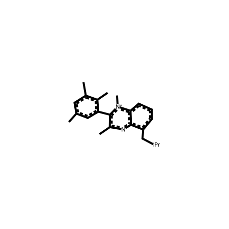 Cc1cc(C)c(C)c(-c2c(C)nc3c(CC(C)C)cccc3[n+]2C)c1